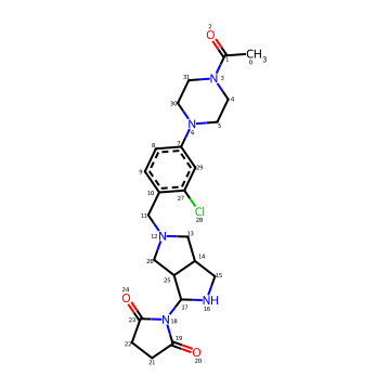 CC(=O)N1CCN(c2ccc(CN3CC4CNC(N5C(=O)CCC5=O)C4C3)c(Cl)c2)CC1